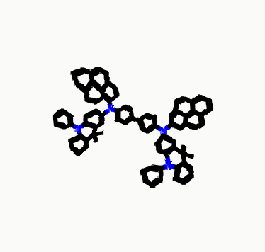 CC1(C)c2ccccc2N(c2ccccc2)c2ccc(N(c3ccc(-c4ccc(N(c5ccc6c(c5)C(C)(C)c5ccccc5N6c5ccccc5)c5ccc6ccc7cccc8ccc5c6c78)cc4)cc3)c3cc4ccc5cccc6ccc(c3)c4c56)cc21